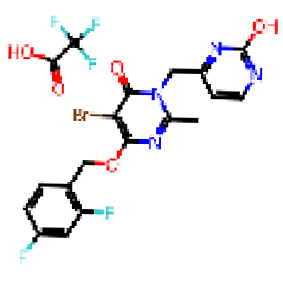 Cc1nc(OCc2ccc(F)cc2F)c(Br)c(=O)n1Cc1ccnc(O)n1.O=C(O)C(F)(F)F